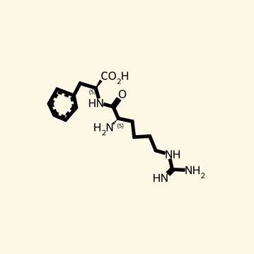 N=C(N)NCCCC[C@H](N)C(=O)N[C@@H](Cc1ccccc1)C(=O)O